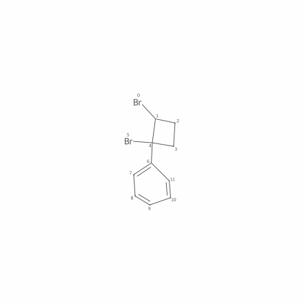 BrC1CCC1(Br)c1ccccc1